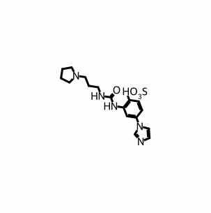 O=C(NCCCN1CCCC1)Nc1cc(-n2ccnc2)ccc1S(=O)(=O)O